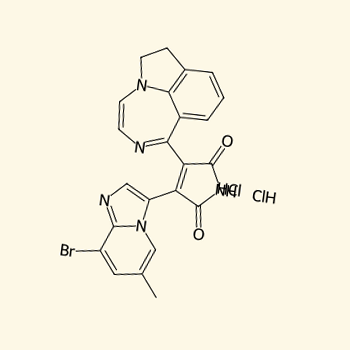 Cc1cc(Br)c2ncc(C3=C(C4=NC=CN5CCc6cccc4c65)C(=O)NC3=O)n2c1.Cl.Cl